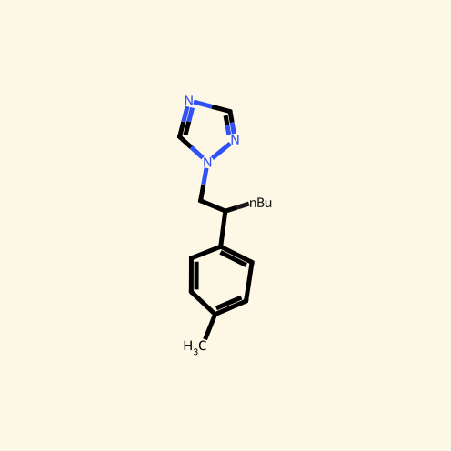 CCCCC(Cn1cncn1)c1ccc(C)cc1